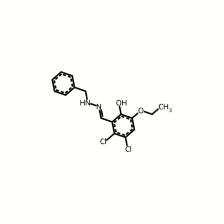 CCOc1cc(Cl)c(Cl)c(/C=N/NCc2ccccc2)c1O